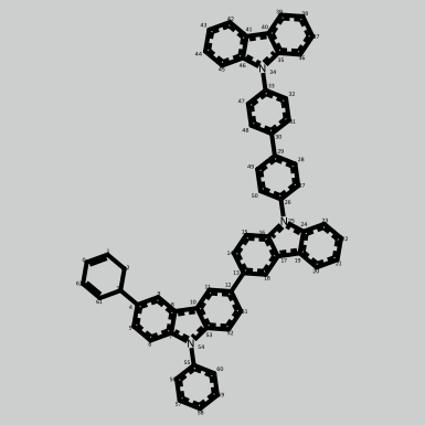 C1=CCC(c2ccc3c(c2)c2cc(-c4ccc5c(c4)c4ccccc4n5-c4ccc(-c5ccc(-n6c7ccccc7c7ccccc76)cc5)cc4)ccc2n3-c2ccccc2)C=C1